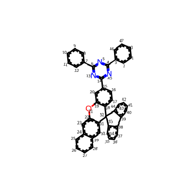 c1ccc(-c2nc(-c3ccccc3)nc(-c3ccc4c(c3)Oc3cc5ccccc5cc3C43c4ccccc4-c4ccccc43)n2)cc1